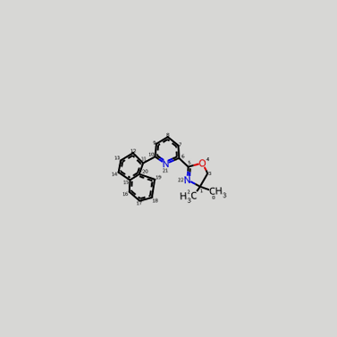 CC1(C)COC(c2cccc(-c3cccc4ccccc34)n2)=N1